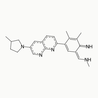 CN/C=C1/C=C(c2ccc3cc(N4CCC(C)C4)cnc3n2)C(C)=C(C)C1=N